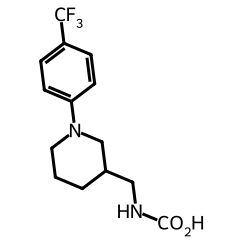 O=C(O)NCC1CCCN(c2ccc(C(F)(F)F)cc2)C1